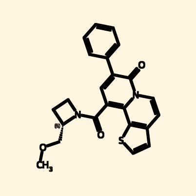 COC[C@@H]1CCN1C(=O)c1cc(-c2ccccc2)c(=O)n2ccc3ccsc3c12